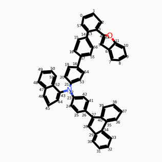 c1ccc(-c2cc3ccccc3o2)c(-c2ccc(-c3ccc(N(c4ccc(-c5cc6ccccc6c6ccccc56)cc4)c4cccc5ccccc45)cc3)cc2)c1